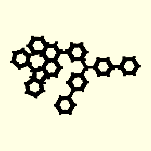 c1ccc(-c2ccc(N(c3ccc(-c4ccccc4)cc3)c3cccc(-c4nc5ccccc5c5c4ccc4c6ccccc6n(-c6ccccc6)c45)c3)cc2)cc1